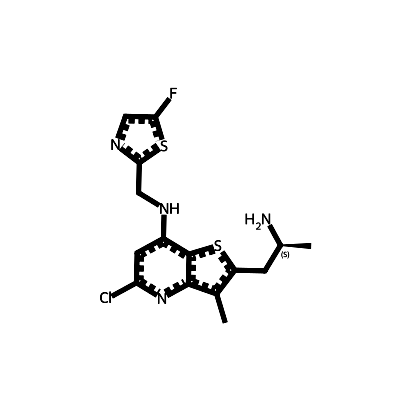 Cc1c(C[C@H](C)N)sc2c(NCc3ncc(F)s3)cc(Cl)nc12